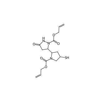 C=CCOC(=O)N1CC(S)CC1C1CC(=O)NN1C(=O)OCC=C